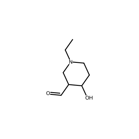 CCN1CCC(O)C(C=O)C1